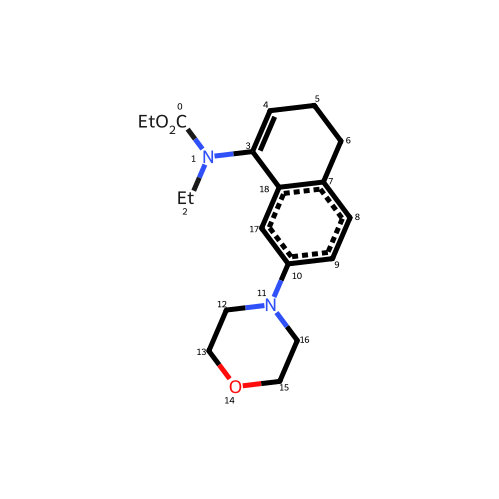 CCOC(=O)N(CC)C1=CCCc2ccc(N3CCOCC3)cc21